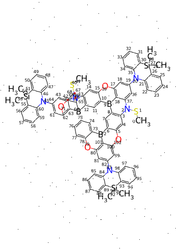 CSN1c2cc3c(cc2B2c4cc5c(cc4Oc4cc(N6c7ccccc7[Si](C)(C)c7ccccc76)cc1c42)N(SC)c1cc(N2c4ccccc4[Si](C)(C)c4ccccc42)cc2c1B5c1ccccc1O2)B1c2ccccc2Oc2cc(N4c5ccccc5[Si](C)(C)c5ccccc54)cc(c21)O3